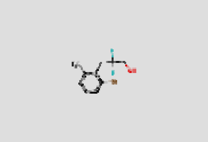 OCC(F)(F)Cc1c(Br)cccc1C(F)(F)F